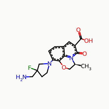 C[C@H]1COc2c(N3CCC(F)(CN)C3)ccc3cc(C(=O)O)c(=O)n1c23